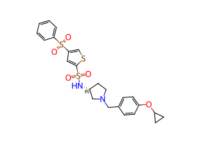 O=S(=O)(N[C@@H]1CCN(Cc2ccc(OC3CC3)cc2)C1)c1cc(S(=O)(=O)c2ccccc2)cs1